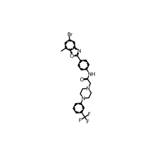 Cc1cc(Br)cc2nc(-c3ccc(NC(=O)CN4CCN(c5cccc(C(F)(F)F)c5)CC4)cc3)oc12